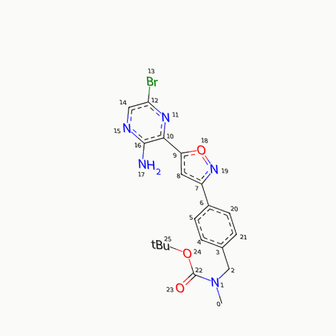 CN(Cc1ccc(-c2cc(-c3nc(Br)cnc3N)on2)cc1)C(=O)OC(C)(C)C